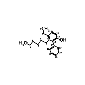 CCCCCCc1c(CC)ccc(O)c1-c1ccccc1